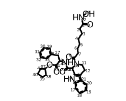 O=C(CCCCCCC(=O)N1CCc2c([nH]c3ccccc23)C1C(=O)NC(Cc1ccccc1)C(=O)OC1CCCC1)NO